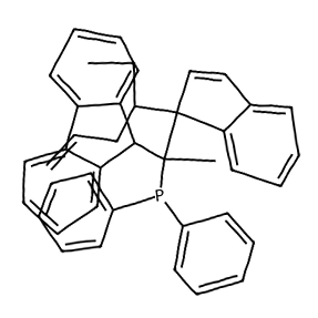 C=CCC(CC)C1(C(C)(C2c3ccccc3-c3ccccc32)P(c2ccccc2)c2ccccc2)C=Cc2ccccc21